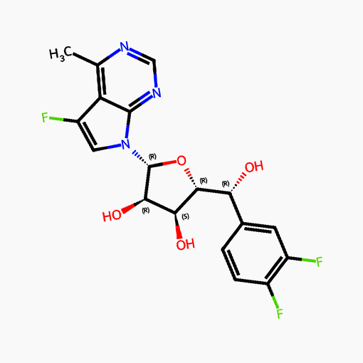 Cc1ncnc2c1c(F)cn2[C@@H]1O[C@H]([C@H](O)c2ccc(F)c(F)c2)[C@@H](O)[C@H]1O